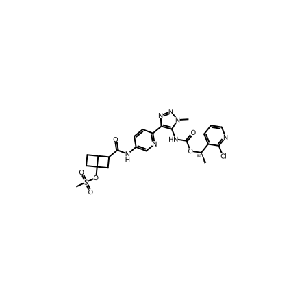 C[C@@H](OC(=O)Nc1c(-c2ccc(NC(=O)C3CC4(OS(C)(=O)=O)CCC34)cn2)nnn1C)c1cccnc1Cl